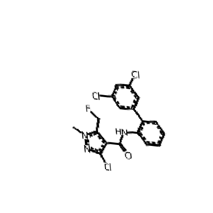 Cn1nc(Cl)c(C(=O)Nc2ccccc2-c2cc(Cl)cc(Cl)c2)c1CF